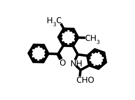 Cc1cc(C)c(C2NC(C=O)c3ccccc32)c(C(=O)c2ccccc2)c1